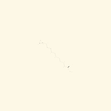 COC(=O)CCCCCCCCCCC1CC1